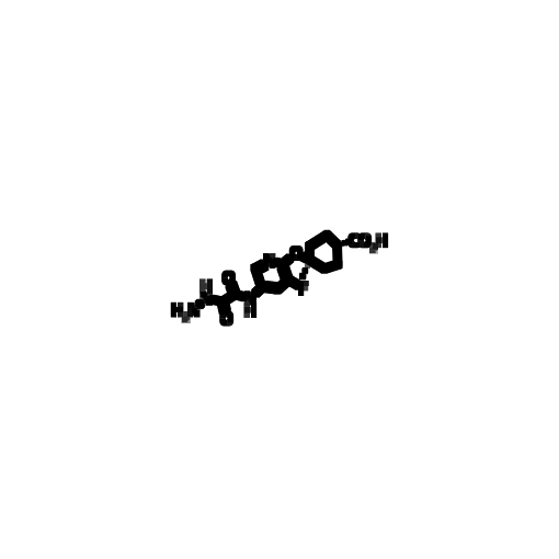 C[C@]1(Oc2ncc(NC(=O)C(=O)NN)cc2F)CC[C@H](C(=O)O)CC1